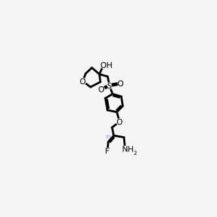 NC/C(=C\F)COc1ccc(S(=O)(=O)CC2(O)CCOCC2)cc1